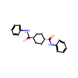 O=C(Nc1ccccc1)[C@H]1CC[C@H](C(=O)Nc2ccccc2)CC1